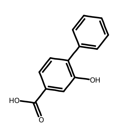 O=C(O)c1ccc(-c2ccccc2)c(O)c1